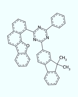 CC1(C)c2ccccc2-c2ccc(-c3nc(-c4ccccc4)nc(-c4cccc5ccc6c7ccccc7oc6c45)n3)cc21